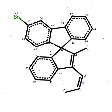 C/C=C\C1=C(C)C2(c3ccccc31)c1ccccc1-c1cc(Br)ccc12